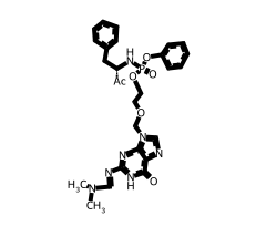 CC(=O)[C@H](Cc1ccccc1)NP(=O)(OCCOCn1cnc2c(=O)[nH]c(/N=C/N(C)C)nc21)Oc1ccccc1